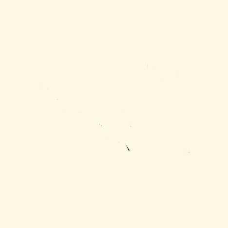 CC(C)(C)OC(=O)CNC(=O)[C@H](Cc1ccc(Br)cc1)NC(=O)c1ccc(C(C)(C)C)s1